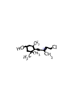 CC1=C(C#C/C(C)=C/CCl)C(C)(C)CC(O)C1